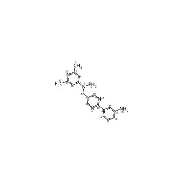 Cc1cc(N(P)Cc2cnc(-c3cccc(N)c3)nc2)cc(C(F)(F)F)n1